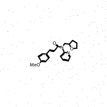 COc1ccc(C=CC(=O)N(CC2CCCO2)c2ccccn2)cc1